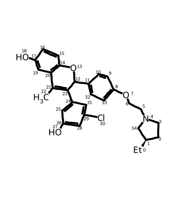 CC[C@@H]1CCN(CCOc2ccc(C3Oc4ccc(O)cc4C(C)=C3c3cc(O)cc(Cl)c3)cc2)C1